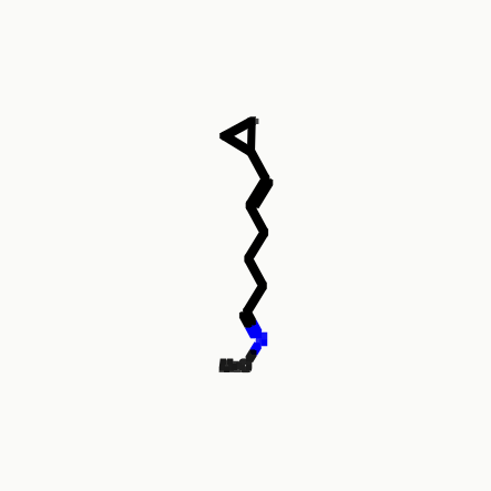 CON=CCCCC=CC1[CH]C1